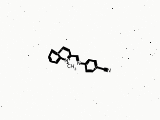 C[n+]1c(C=Nc2ccc(C#N)cc2)ccc2ccccc21